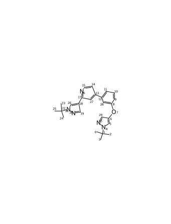 CC(C)(C)n1cc(Oc2cccc(-c3ccnc(-c4cnn(C(C)(C)C)c4)c3)c2)cn1